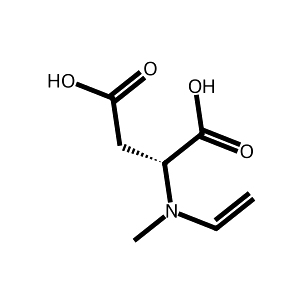 C=CN(C)[C@H](CC(=O)O)C(=O)O